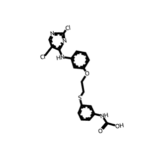 O=C(O)Nc1cccc(SCCOc2cccc(Nc3nc(Cl)ncc3Cl)c2)c1